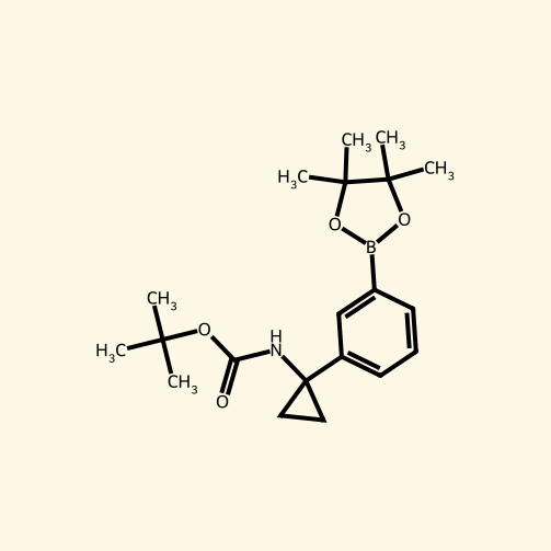 CC(C)(C)OC(=O)NC1(c2cccc(B3OC(C)(C)C(C)(C)O3)c2)CC1